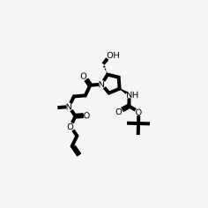 C=CCOC(=O)N(C)CCC(=O)N1C[C@H](NC(=O)OC(C)(C)C)C[C@H]1CO